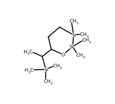 CC(C1CC[Si](C)(C)[Si](C)(C)O1)[Si](C)(C)C